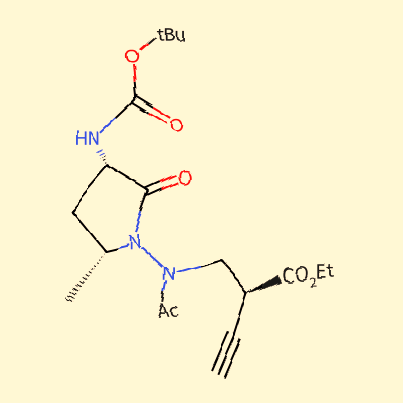 C#C[C@@H](CN(C(C)=O)N1C(=O)[C@@H](NC(=O)OC(C)(C)C)C[C@H]1C)C(=O)OCC